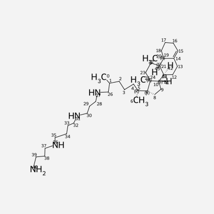 CC(CCC[C@@H](C)[C@H]1CC[C@H]2[C@@H]3CCC4=CCCC[C@]4(C)[C@H]3CC[C@]12C)CNCCCNCCCCNCCCN